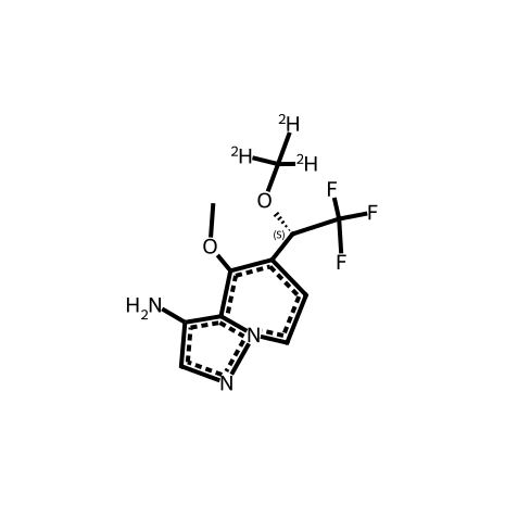 [2H]C([2H])([2H])O[C@@H](c1ccn2ncc(N)c2c1OC)C(F)(F)F